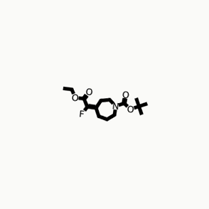 CCOC(=O)C(F)=C1CCCN(C(=O)OC(C)(C)C)CC1